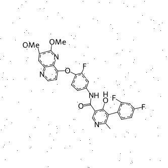 COc1cc2nccc(Oc3ccc(NC(=O)c4cnc(C)c(-c5ccc(F)cc5F)c4O)cc3F)c2nc1OC